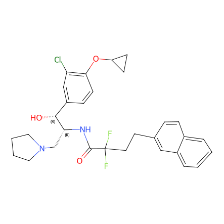 O=C(N[C@H](CN1CCCC1)[C@H](O)c1ccc(OC2CC2)c(Cl)c1)C(F)(F)CCc1ccc2ccccc2c1